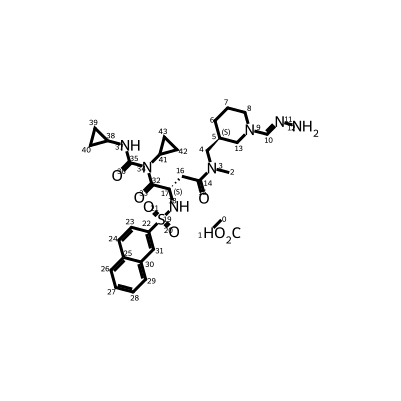 CC(=O)O.CN(C[C@H]1CCCN(C=NN)C1)C(=O)C[C@H](NS(=O)(=O)c1ccc2ccccc2c1)C(=O)N(C(=O)NC1CC1)C1CC1